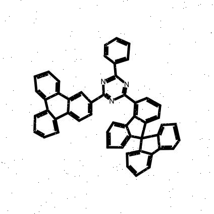 c1ccc(-c2nc(-c3ccc4c5ccccc5c5ccccc5c4c3)nc(-c3cccc4c3-c3ccccc3C43c4ccccc4-c4ccccc43)n2)cc1